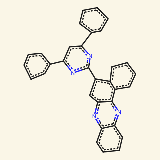 c1ccc(-c2cc(-c3ccccc3)nc(-c3cc4nc5ccccc5nc4c4ccccc34)n2)cc1